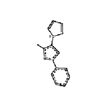 Cc1nn(-c2ccccc2)cc1[SH]1C=CC=C1